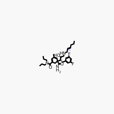 CCC/C=C/CNC[C@H](O)[C@@H](Cc1cc(F)cc(F)c1)C1(C(N)=O)C=C(C)C=C(C(=O)N(CCC)CCC)C1